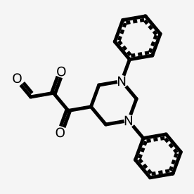 O=CC(=O)C(=O)C1CN(c2ccccc2)CN(c2ccccc2)C1